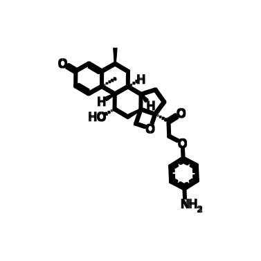 C[C@H]1C[C@@H]2[C@H]([C@@H](O)C[C@]34CO[C@]3(C(=O)COc3ccc(N)cc3)CC[C@@H]24)[C@@]2(C)C=CC(=O)C=C12